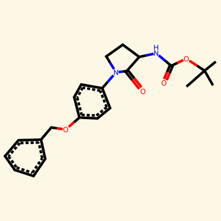 CC(C)(C)OC(=O)NC1CCN(c2ccc(OCc3ccccc3)cc2)C1=O